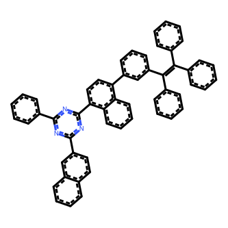 c1ccc(C(=C(c2ccccc2)c2cccc(-c3ccc(-c4nc(-c5ccccc5)nc(-c5ccc6ccccc6c5)n4)c4ccccc34)c2)c2ccccc2)cc1